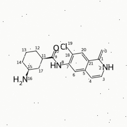 C=C1NC=Cc2cc(NC(=O)[C@@H]3CCC[C@H](N)C3)c(Cl)cc21